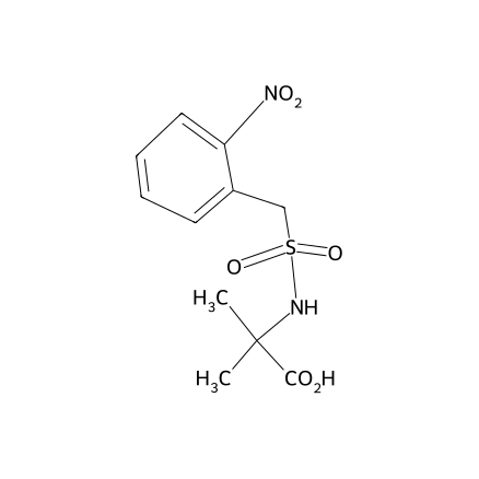 CC(C)(NS(=O)(=O)Cc1ccccc1[N+](=O)[O-])C(=O)O